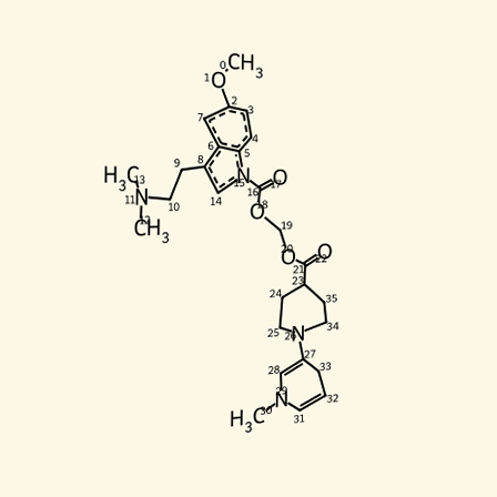 COc1ccc2c(c1)c(CCN(C)C)cn2C(=O)OCOC(=O)C1CCN(C2=CN(C)C=CC2)CC1